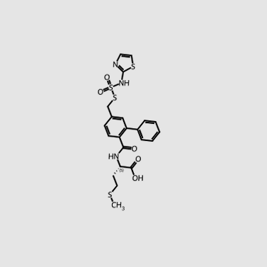 CSCC[C@H](NC(=O)c1ccc(CSS(=O)(=O)Nc2nccs2)cc1-c1ccccc1)C(=O)O